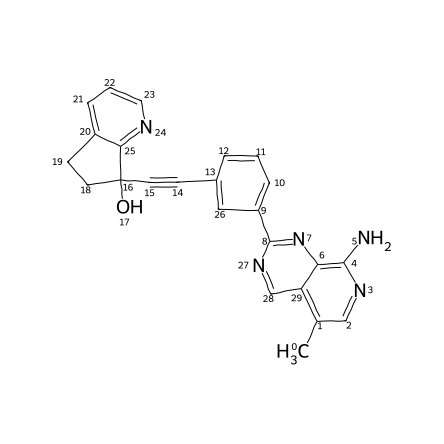 Cc1cnc(N)c2nc(-c3cccc(C#CC4(O)CCc5cccnc54)c3)ncc12